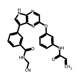 C=CC(=O)Nc1cccc(Oc2cnc3[nH]cc(-c4cccc(C(=O)NCC#N)c4)c3n2)c1